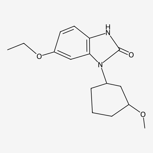 CCOc1ccc2[nH]c(=O)n(C3CCCC(OC)C3)c2c1